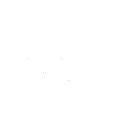 COC(OC)C(Cc1ccccc1)/N=C/c1ccccc1O